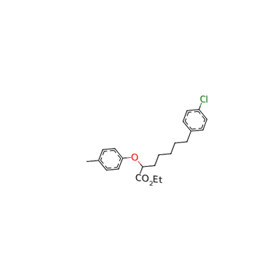 CCOC(=O)C(CCCCCc1ccc(Cl)cc1)Oc1ccc(C)cc1